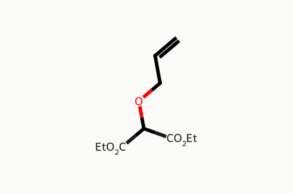 C=CCOC(C(=O)OCC)C(=O)OCC